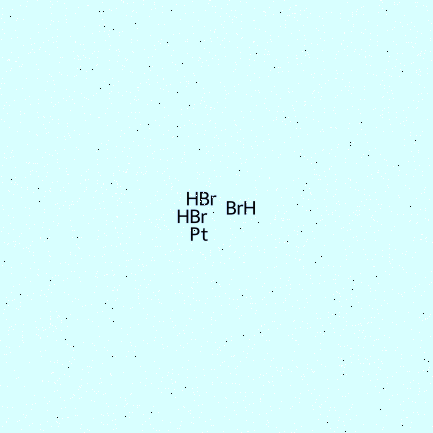 Br.Br.Br.[Pt]